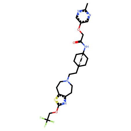 Cc1ncc(OCC(=O)NC23CCC(CCN4CCc5nc(OCC(F)(F)F)sc5CC4)(CC2)CC3)cn1